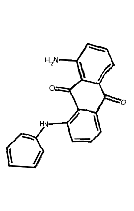 Nc1cccc2c1C(=O)c1c(Nc3ccccc3)cccc1C2=O